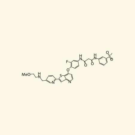 COCCNCc1ccc(-c2cc3nccc(Oc4ccc(NC(=O)CC(=O)Nc5cccc(S(C)(=O)=O)c5)cc4F)c3s2)nc1